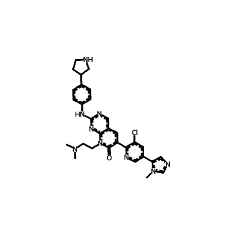 CN(C)CCn1c(=O)c(-c2ncc(-c3cncn3C)cc2Cl)cc2cnc(Nc3ccc(C4CCNC4)cc3)nc21